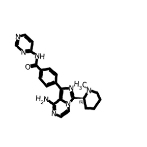 CN1CCCC[C@H]1c1nc(-c2ccc(C(=O)Nc3ccncn3)cc2)c2c(N)nccn12